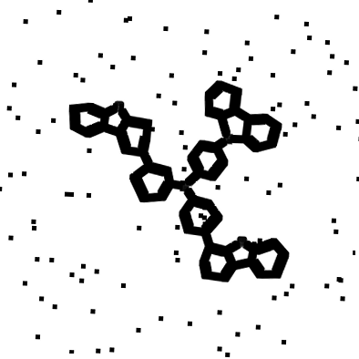 c1cc(-c2ccc3oc4ccccc4c3c2)cc(N(c2ccc(-c3cccc4c3oc3ccccc34)cc2)c2ccc(-n3c4ccccc4c4ccccc43)cc2)c1